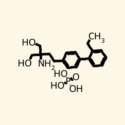 CCc1ccccc1-c1ccc(CCC(N)(CO)CO)cc1.O=P(O)(O)O